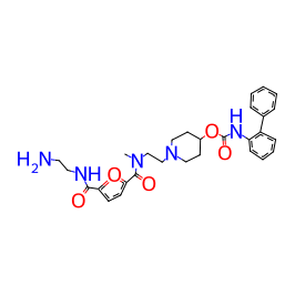 CN(CCN1CCC(OC(=O)Nc2ccccc2-c2ccccc2)CC1)C(=O)c1ccc(C(=O)NCCN)o1